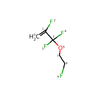 C=C(F)C(F)(F)OCCF